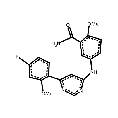 COc1ccc(Nc2cc(-c3ccc(F)cc3OC)ncn2)cc1C(N)=O